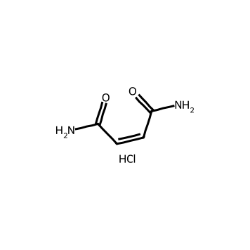 Cl.NC(=O)/C=C\C(N)=O